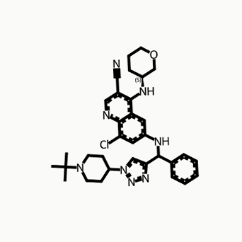 CC(C)(C)N1CCC(n2cc(C(Nc3cc(Cl)c4ncc(C#N)c(N[C@H]5CCCOC5)c4c3)c3ccccc3)nn2)CC1